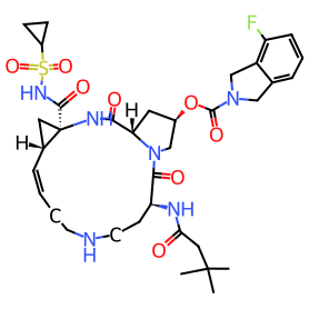 CC(C)(C)CC(=O)N[C@H]1CCNCC/C=C\[C@@H]2C[C@@]2(C(=O)NS(=O)(=O)C2CC2)NC(=O)[C@@H]2C[C@@H](OC(=O)N3Cc4cccc(F)c4C3)CN2C1=O